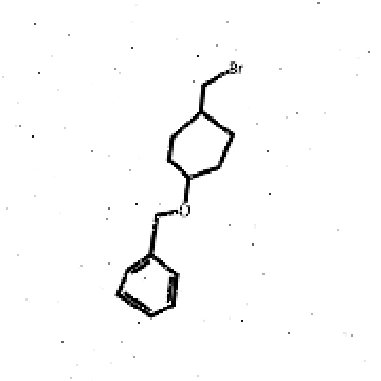 BrCC1CCC(OCc2ccccc2)CC1